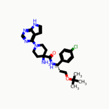 CC(C)(C)OCC[C@H](NC(=O)C1(N)CCN(c2ncnc3[nH]ccc23)CC1)c1ccc(Cl)cc1